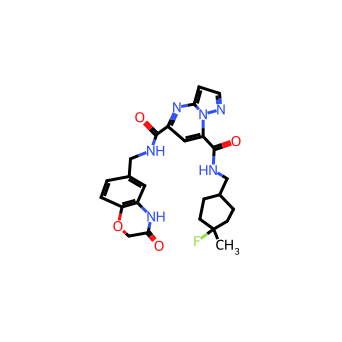 CC1(F)CCC(CNC(=O)c2cc(C(=O)NCc3ccc4c(c3)NC(=O)CO4)nc3ccnn23)CC1